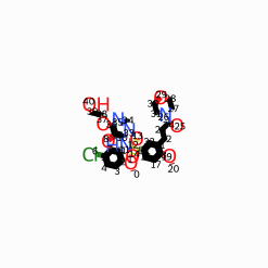 COc1ccc(Cl)c(Oc2c(NS(=O)(=O)c3ccc(OC)c(CCC(=O)N4CCOCC4)c3)ncnc2OCCO)c1